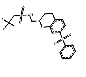 O=S(=O)(CC(F)(F)F)NC[C@H]1CCc2ccc(S(=O)(=O)c3ccccc3)cc2O1